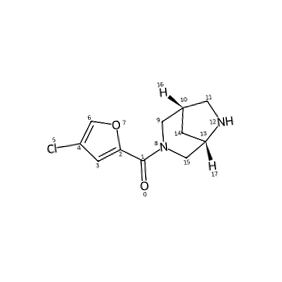 O=C(c1cc(Cl)co1)N1C[C@@H]2CN[C@@H](C2)C1